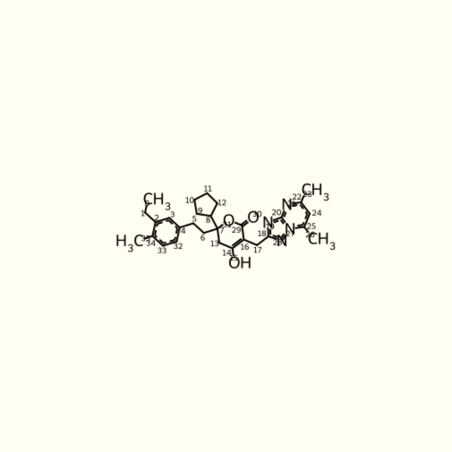 CCc1cc(CCC2(C3CCCC3)CC(O)=C(Cc3nc4nc(C)cc(C)n4n3)C(=O)O2)ccc1C